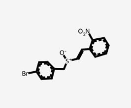 O=[N+]([O-])c1ccccc1/C=C/[S+]([O-])Cc1ccc(Br)cc1